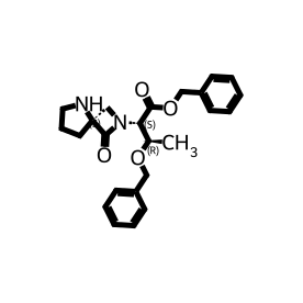 C[C@@H](OCc1ccccc1)[C@@H](C(=O)OCc1ccccc1)N1C[C@@]2(CCCN2)C1=O